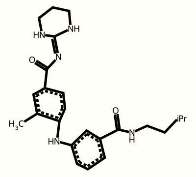 Cc1cc(C(=O)N=C2NCCCN2)ccc1Nc1cccc(C(=O)NCCC(C)C)c1